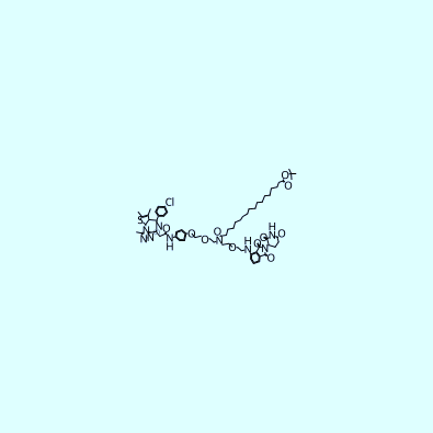 CC1=C(C)C2C(c3ccc(Cl)cc3)=N[C@@H](CC(=O)Nc3ccc(OCCOCCN(CCOCCNc4cccc5c4C(=O)N(C4CCC(=O)NC4=O)C5=O)C(=O)CCCCCCCCCCCCCCCCC(=O)OC(C)(C)C)cc3)c3nnc(C)n3C2S1